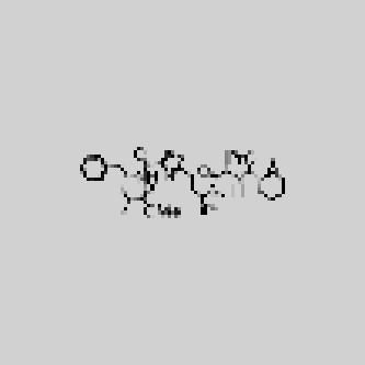 COC(=O)[C@@H](C)C[C@H](Cc1ccccc1)NC(=O)c1csc(CCC(C(C)C)N(C)C(=O)[C@@H](NC(=O)[C@H]2CCCCN2C)C(C)C)n1